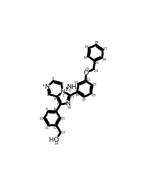 N[N+]12C=CN=CC1=C(c1cccc(CO)c1)N=C2c1cccc(OCc2ccccc2)c1